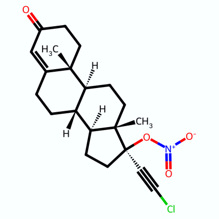 C[C@]12CCC(=O)C=C1CC[C@@H]1[C@@H]2CC[C@@]2(C)[C@H]1CC[C@]2(C#CCl)O[N+](=O)[O-]